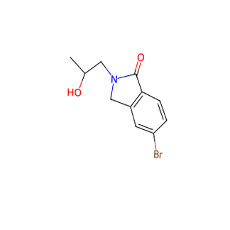 CC(O)CN1Cc2cc(Br)ccc2C1=O